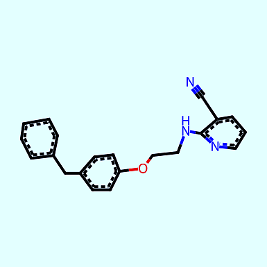 N#Cc1cccnc1NCCOc1ccc(Cc2ccccc2)cc1